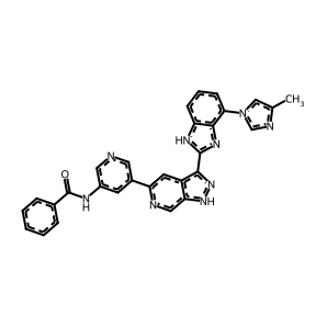 Cc1cn(-c2cccc3[nH]c(-c4n[nH]c5cnc(-c6cncc(NC(=O)c7ccccc7)c6)cc45)nc23)cn1